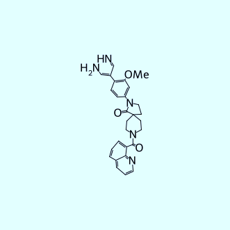 COc1cc(N2CCC3(CCN(C(=O)c4cccc5cccnc45)CC3)C2=O)ccc1/C(C=N)=C/N